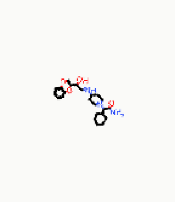 NC(=O)C(C1CCCCC1)N1CCC(NCC(O)C2COc3ccccc3O2)CC1